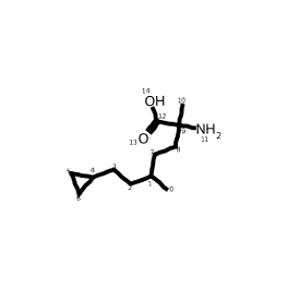 CC(CCC1CC1)CCC(C)(N)C(=O)O